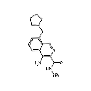 CCCNC(=O)c1nnc2c(CC3CCCC3)cccc2c1N